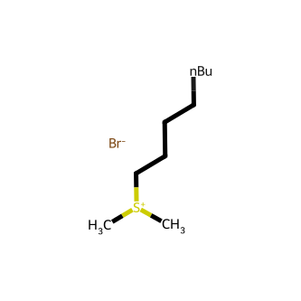 CCCCCCCC[S+](C)C.[Br-]